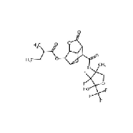 CCC(C)C(=O)OC1C2CC3C1OC(=O)C3C2C(=O)OC1(C)COC(O)(C(F)(F)F)C1(F)F